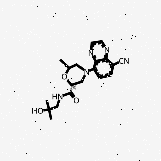 CC1CN(c2ccc(C#N)c3nccnc23)C[C@H](C(=O)NCC(C)(C)O)O1